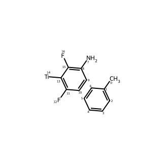 Cc1ccccc1.Nc1ccc(F)[c]([Ti])c1F